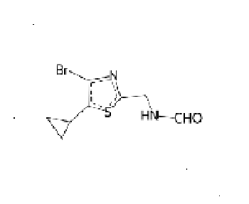 O=CNCc1nc(Br)c(C2CC2)s1